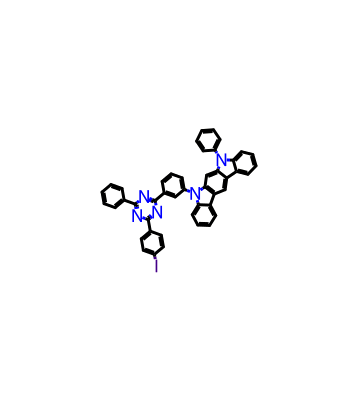 Ic1ccc(-c2nc(-c3ccccc3)nc(-c3cccc(-n4c5ccccc5c5cc6c7ccccc7n(-c7ccccc7)c6cc54)c3)n2)cc1